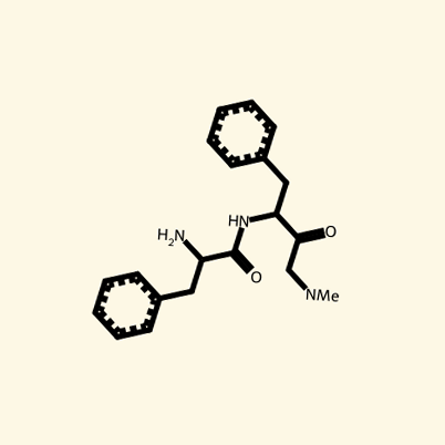 CNCC(=O)C(Cc1ccccc1)NC(=O)C(N)Cc1ccccc1